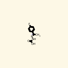 C/C(=N\NC(=O)O)c1ccc(F)cc1